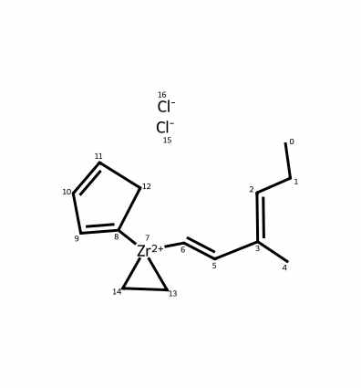 CCC=C(C)C=[CH][Zr+2]1([C]2=CC=CC2)[CH2][CH2]1.[Cl-].[Cl-]